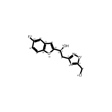 O[C@@H](Cc1noc(CCl)n1)c1cc2cc(F)ccc2o1